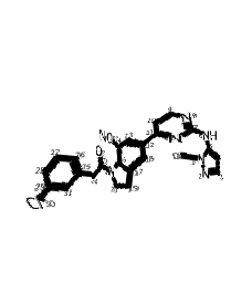 Cn1nccc1Nc1nccc(-c2cc(C#N)c3c(c2)CCN3C(=O)Cc2cccc(Cl)c2)n1